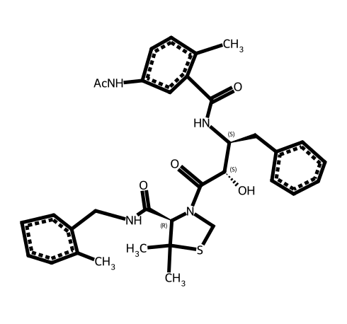 CC(=O)Nc1ccc(C)c(C(=O)N[C@@H](Cc2ccccc2)[C@H](O)C(=O)N2CSC(C)(C)[C@H]2C(=O)NCc2ccccc2C)c1